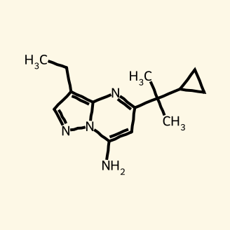 CCc1cnn2c(N)cc(C(C)(C)C3CC3)nc12